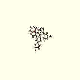 Fc1ccc(C(C=Cc2ccc(Cl)cc2Cl)SC(C=Cc2ccc(Cl)cc2Cl)c2ccc(F)cc2)cc1